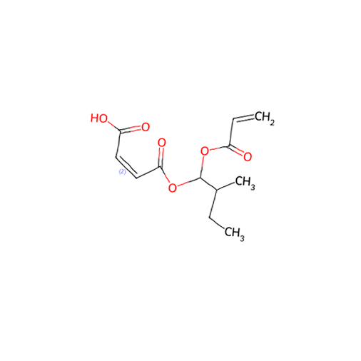 C=CC(=O)OC(OC(=O)/C=C\C(=O)O)C(C)CC